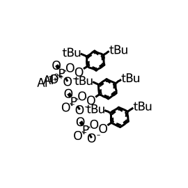 CC(C)(C)c1ccc(OOP(=O)([O-])[O-])c(C(C)(C)C)c1.CC(C)(C)c1ccc(OOP(=O)([O-])[O-])c(C(C)(C)C)c1.CC(C)(C)c1ccc(OOP(=O)([O-])[O-])c(C(C)(C)C)c1.[Al+3].[Al+3]